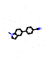 Cn1ccc2cc(-c3ccc(C#N)cc3)ccc21